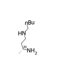 CCCCCNCC[C@@H](C)N